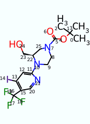 CC(C)(C)OC(=O)N1CCN(c2cc(I)c(C(F)(F)F)cn2)[C@@H](CO)C1